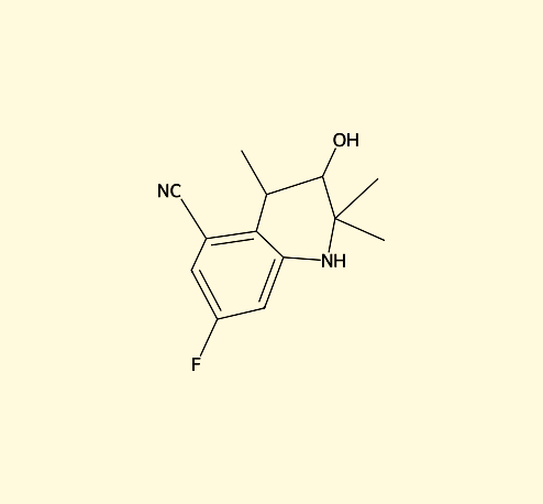 CC1c2c(C#N)cc(F)cc2NC(C)(C)C1O